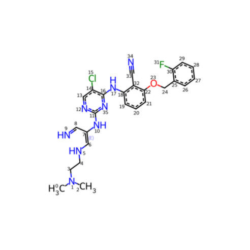 CN(C)CCN/C=C(\C=N)Nc1ncc(Cl)c(Nc2cccc(OCc3ccccc3F)c2C#N)n1